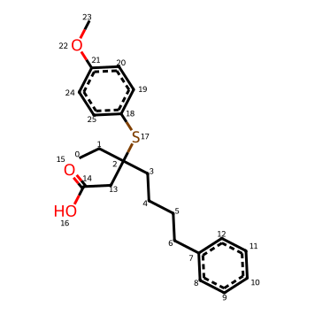 CCC(CCCCc1ccccc1)(CC(=O)O)Sc1ccc(OC)cc1